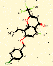 CCc1c(OCc2ccc(Cl)cc2)cc(F)c2c(=O)cc(C(F)(F)F)oc12